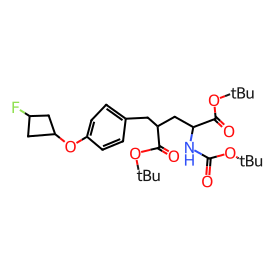 CC(C)(C)OC(=O)NC(CC(Cc1ccc(OC2CC(F)C2)cc1)C(=O)OC(C)(C)C)C(=O)OC(C)(C)C